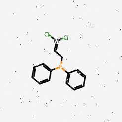 [Cl][Ni]([Cl])=[CH]CP(c1ccccc1)c1ccccc1